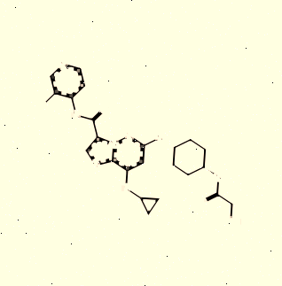 O=C(CO)N[C@H]1CC[C@H](Nc2cc(NC3CC3)c3ncc(C(=O)Nc4ccncc4F)n3n2)CC1